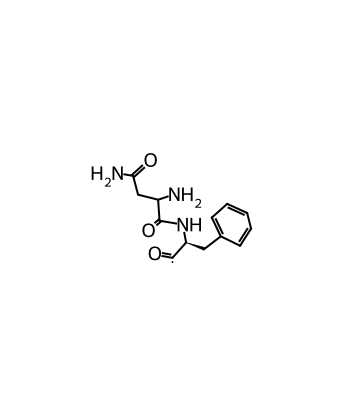 NC(=O)CC(N)C(=O)N[C@H]([C]=O)Cc1ccccc1